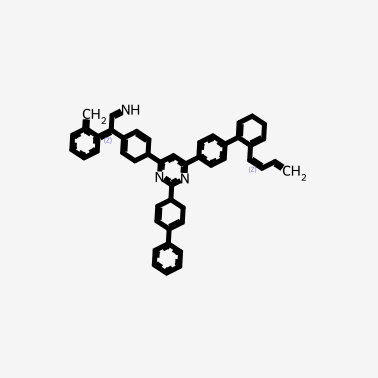 C=C/C=C\C1=CCCC=C1c1ccc(-c2cc(C3C=CC(/C(C=N)=c4\ccccc4=C)=CC3)nc(C3C=CC(c4ccccc4)=CC3)n2)cc1